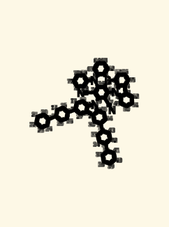 N#Cc1c2c3c(c(C#N)c1-n1c4ccc(-c5ccc(-c6ccccc6)cc5)cc4c4cc(-c5ccc(-c6ccccc6)cc5)ccc41)-n1c4ccccc4c4cccc(c41)B3c1ccccc1N2c1ccccc1